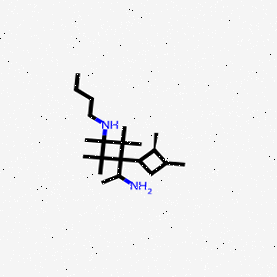 CCCCNC1(C)C(C)(C)C(C(C)N)(C2CC(C)[C@@H]2C)C1(C)C